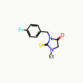 CCN1CC(=O)N(Cc2ccc(F)cc2)C1=S